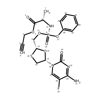 C#CCOC(=O)[C@H](C)N[P@](=O)(OC[C@@H]1O[C@H](n2cc(F)c(N)nc2=O)CS1)Oc1ccccc1